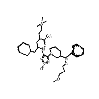 COCCCO[C@H](c1ccccc1)C1CCCN(c2n[s+]([O-])nc2NC(CC2CCCCC2)CN(CC[Si](C)(C)C)C(=O)O)C1